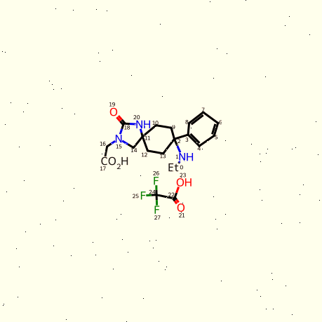 CCNC1(c2ccccc2)CCC2(CC1)CN(CC(=O)O)C(=O)N2.O=C(O)C(F)(F)F